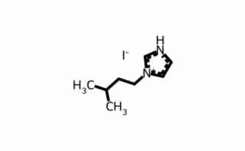 CC(C)CC[n+]1cc[nH]c1.[I-]